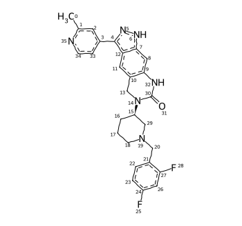 Cc1cc(-c2n[nH]c3cc4c(cc23)CN([C@@H]2CCCN(Cc3ccc(F)cc3F)C2)C(=O)N4)ccn1